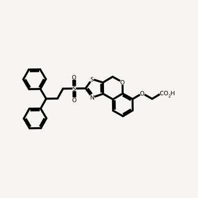 O=C(O)COc1cccc2c1OCc1sc(S(=O)(=O)CCC(c3ccccc3)c3ccccc3)nc1-2